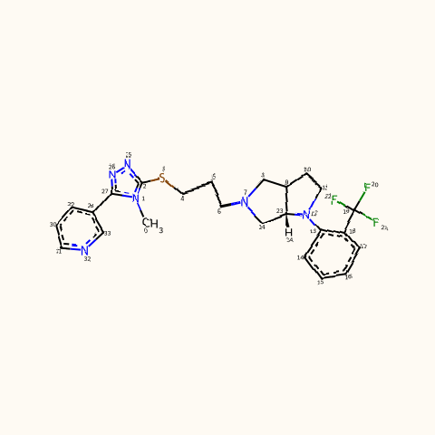 Cn1c(SCCCN2CC3CCN(c4ccccc4C(F)(F)F)[C@@H]3C2)nnc1-c1cccnc1